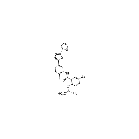 CCc1ccc(OC(C)C(=O)O)c(C(=O)Nc2cc(-c3nnc(-c4ccco4)o3)ccc2F)c1